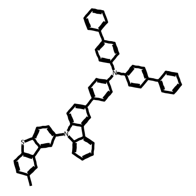 Cc1ccc2sc3ccc(-n4c5ccccc5c5cc(-c6ccc(N(c7ccc(-c8ccccc8)cc7)c7ccc(-c8ccccc8)cc7)cc6)ccc54)cc3c2c1